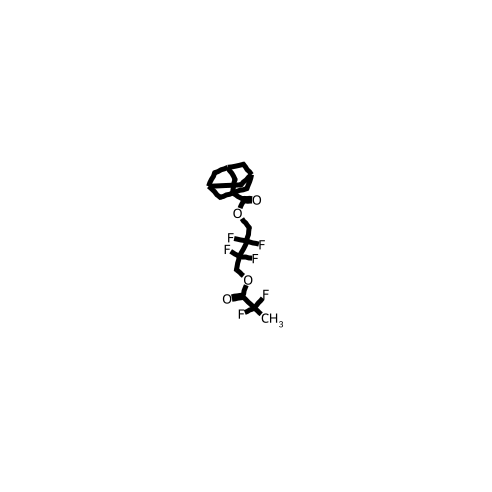 CC(F)(F)C(=O)OCC(F)(F)C(F)(F)COC(=O)C12CC3CC(CC(C3)C1)C2